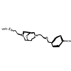 N#Cc1ccc(COCCN2CC3CN(CCNC(=O)O)CC(C2)O3)cc1